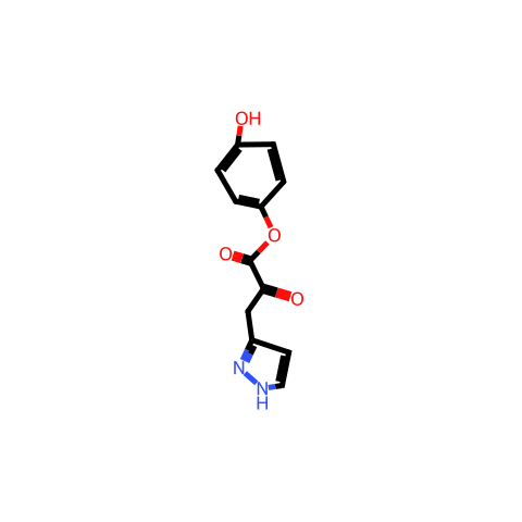 O=C(Cc1cc[nH]n1)C(=O)Oc1ccc(O)cc1